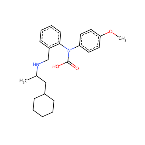 COc1ccc(N(C(=O)O)c2ccccc2CNC(C)CC2CCCCC2)cc1